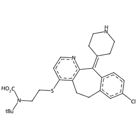 CC(C)(C)N(CCSc1ccnc2c1CCc1cc(Cl)ccc1C2=C1CCNCC1)C(=O)O